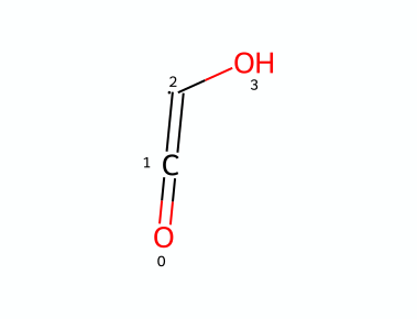 O=C=[C]O